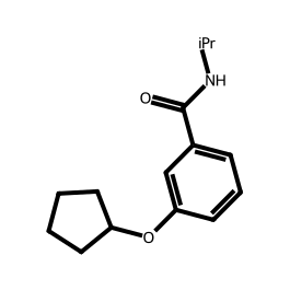 CC(C)NC(=O)c1cccc(OC2CCCC2)c1